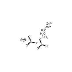 O.O.O.O.[O-]B([O-])[O-].[O-]B([O-])[O-].[Zn+2].[Zn+2].[Zn+2]